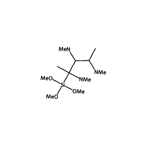 CNC(C)C(NC)C(C)(NC)[Si](OC)(OC)OC